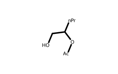 CCCC(CO)OC(C)=O